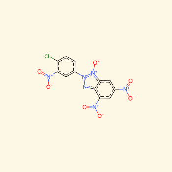 O=[N+]([O-])c1cc([N+](=O)[O-])c2nn(-c3ccc(Cl)c([N+](=O)[O-])c3)[n+]([O-])c2c1